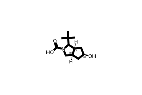 CC(C)(C)C1[C@H]2C[C@@H](O)C[C@H]2CN1C(=O)O